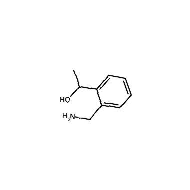 CC(O)c1ccccc1CN